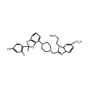 COCCN1C(CN2CCN(c3cccc4c3OC(C)(c3ccc(Cl)cc3F)O4)CC2)=NC2C=CC(C(=O)O)=CC21